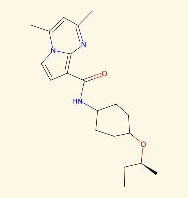 CC[C@H](C)OC1CCC(NC(=O)c2ccn3c(C)cc(C)nc23)CC1